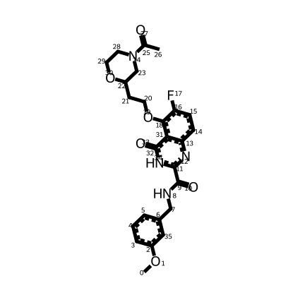 COc1cccc(CNC(=O)c2nc3ccc(F)c(OCCC4CN(C(C)=O)CCO4)c3c(=O)[nH]2)c1